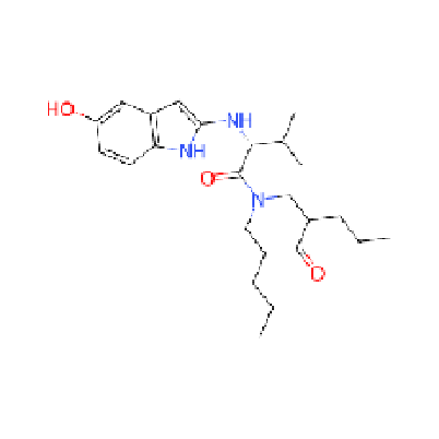 CCCCCN(CC(C=O)CCC)C(=O)[C@H](Nc1cc2cc(O)ccc2[nH]1)C(C)C